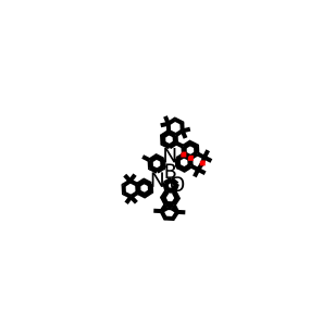 Cc1cc2c3c(c1)N(c1ccc4c(c1)C(C)(C)CCC4(C)C)c1c(oc4cc5c(cc14)C1(C)CCC5(C)CC1)B3c1cc(C(C)(C)C)ccc1N2c1ccc2c(c1-c1ccc(C(C)(C)C)cc1)C(C)(C)CCC2(C)C